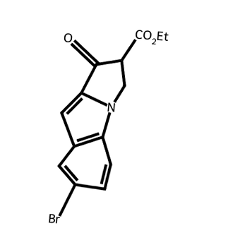 CCOC(=O)C1Cn2c(cc3cc(Br)ccc32)C1=O